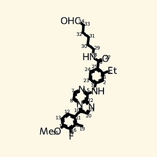 CCc1cc(Nc2nccn3c(-c4ccc(OC)c(F)c4C)cnc23)ccc1C(=O)NCCCCCC=O